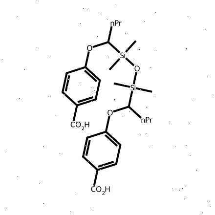 CCCC(Oc1ccc(C(=O)O)cc1)[Si](C)(C)O[Si](C)(C)C(CCC)Oc1ccc(C(=O)O)cc1